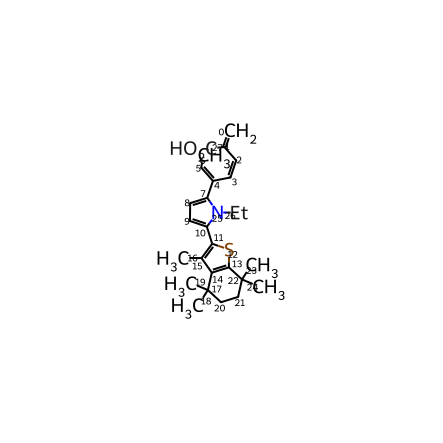 C=C(/C=C\C(=C/C)c1ccc(-c2sc3c(c2C)C(C)(C)CCC3(C)C)n1CC)C(=O)O